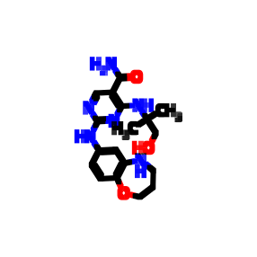 CC(C)(CO)Nc1nc(Nc2ccc3c(c2)NCCCO3)ncc1C(N)=O